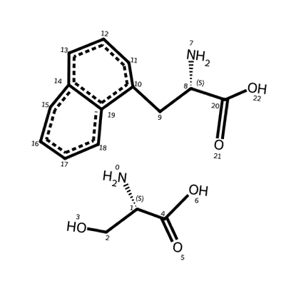 N[C@@H](CO)C(=O)O.N[C@@H](Cc1cccc2ccccc12)C(=O)O